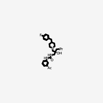 CC(=O)c1cccc(NC(=O)NC[C@](O)(CC(C)C)CN2CCC(Cc3ccc(F)cc3)CC2)c1